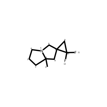 CC12CCCN1CC1(C2)CC1(F)F